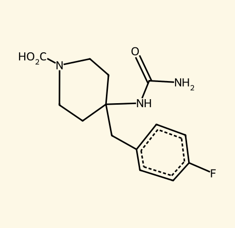 NC(=O)NC1(Cc2ccc(F)cc2)CCN(C(=O)O)CC1